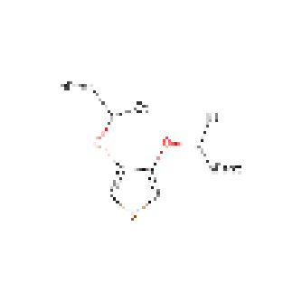 CCCCCC(CC)Oc1cscc1OC(CC)CCCCC